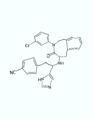 N#Cc1ccc(CC(NC2Cc3ccccc3CN(c3cccc(Cl)c3)C2=O)c2cnc[nH]2)cc1